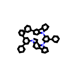 c1ccc(-c2cc(-c3ccccc3)cc(-n3ccc4c3ccc3c5ccccc5n(-c5cc(-c6ccccc6)cc(-n6c7ccccc7c7cc(-c8ccccc8)ccc76)c5)c34)c2)cc1